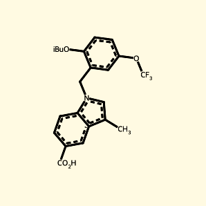 Cc1cn(Cc2cc(OC(F)(F)F)ccc2OCC(C)C)c2ccc(C(=O)O)cc12